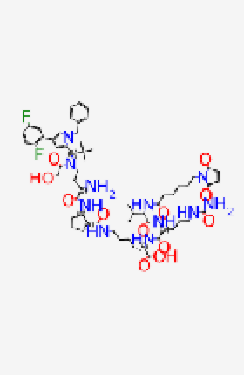 CC(C)C(NC(=O)CCCCCN1C(=O)C=CC1=O)C(=O)N[C@@H](CCCNC(N)=O)C(=O)N[C@@H](CCCCNC(=O)[C@@H]1CCC[C@@H]1NC(=O)[C@@H](N)CCN(C(=O)CO)[C@@H](c1cc(-c2cc(F)ccc2F)cn1Cc1ccccc1)C(C)(C)C)C(=O)O